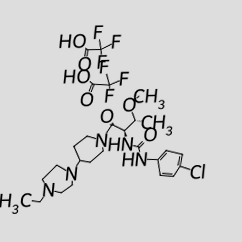 CCN1CCN(C2CCN(C(=O)[C@H](NC(=O)Nc3ccc(Cl)cc3)[C@@H](C)OC)CC2)CC1.O=C(O)C(F)(F)F.O=C(O)C(F)(F)F